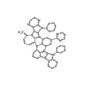 C=C1C=CC=C2B3c4c(cc(-c5ncccn5)cc4-n4c5c3cccc5c3c5ccccc5n(-c5ccccc5)c34)-n3c2c1c1c2nccnc2n(-c2ccccc2)c13